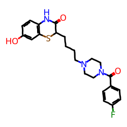 O=C1Nc2ccc(O)cc2SC1CCCCN1CCN(C(=O)c2ccc(F)cc2)CC1